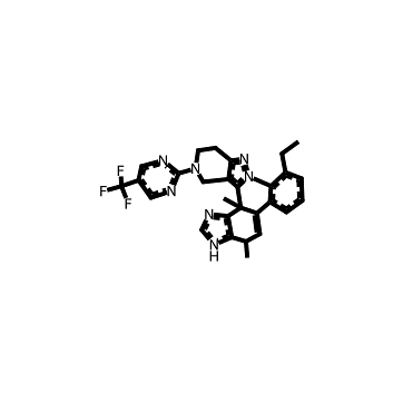 CCc1cccc2c1-n1nc3c(c1C1(C)C2=CC(C)c2[nH]cnc21)CN(c1ncc(C(F)(F)F)cn1)CC3